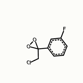 Fc1cccc(C2(CCl)OO2)c1